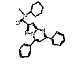 CN(C(=O)c1cc2nc(-c3ccccc3)cc(-c3ccccc3)n2n1)C1CCCCC1